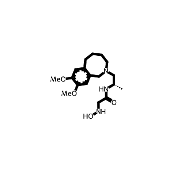 COc1cc2c(cc1OC)CN(C[C@H](C)NC(=O)CNO)CCCC2